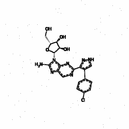 Nc1nc2cnc(-c3n[nH]cc3-c3ccc(Cl)cc3)nc2n1[C@@H]1O[C@H](CO)[C@@H](O)[C@H]1O